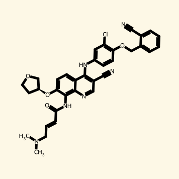 CN(C)C/C=C/C(=O)Nc1c(O[C@H]2CCOC2)ccc2c(Nc3ccc(OCc4ccccc4C#N)c(Cl)c3)c(C#N)cnc12